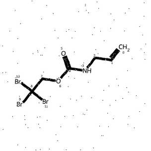 C=C[CH]NC(=O)OCC(Br)(Br)Br